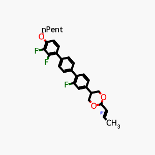 C/C=C/C1OCC(c2ccc(-c3ccc(-c4ccc(OCCCCC)c(F)c4F)cc3)c(F)c2)CO1